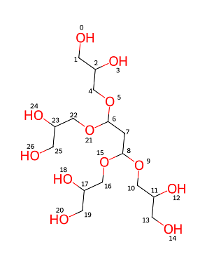 OCC(O)COC(CC(OCC(O)CO)OCC(O)CO)OCC(O)CO